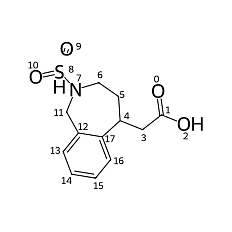 O=C(O)CC1CCN([SH](=O)=O)Cc2ccccc21